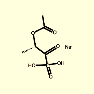 CC(=O)O[C@@H](C)C(=O)P(=O)(O)O.[Na]